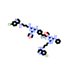 CC(c1ccc(Nc2nc(NCCCCNc3ccnc4cc(Cl)ccc34)nc(N3CCOCC3)n2)cc1)C1CN(c2nc(NCCCCNc3ccnc4cc(Cl)ccc34)nc(Nc3ccccc3)n2)CCO1